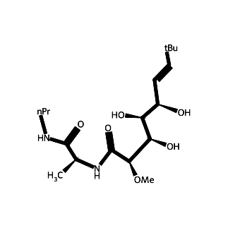 CCCNC(=O)[C@H](C)NC(=O)[C@H](OC)[C@H](O)[C@@H](O)[C@H](O)/C=C/C(C)(C)C